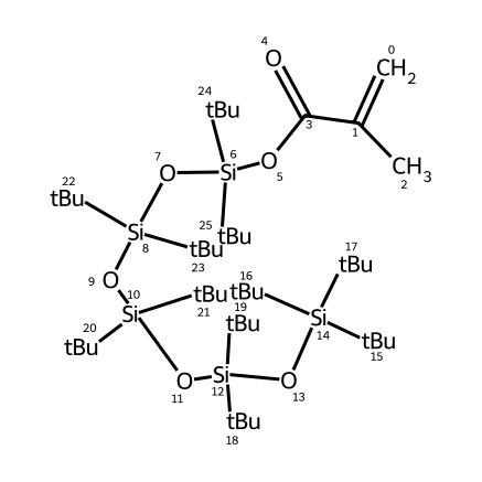 C=C(C)C(=O)O[Si](O[Si](O[Si](O[Si](O[Si](C(C)(C)C)(C(C)(C)C)C(C)(C)C)(C(C)(C)C)C(C)(C)C)(C(C)(C)C)C(C)(C)C)(C(C)(C)C)C(C)(C)C)(C(C)(C)C)C(C)(C)C